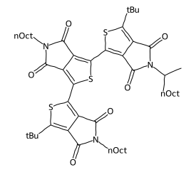 CCCCCCCCC(C)N1C(=O)c2c(-c3sc(-c4sc(C(C)(C)C)c5c4C(=O)N(CCCCCCCC)C5=O)c4c3C(=O)N(CCCCCCCC)C4=O)sc(C(C)(C)C)c2C1=O